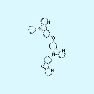 c1ccc(-n2c3ccc(Oc4ccc5c(c4)c4ncccc4n5-c4ccc5oc6cccnc6c5c4)cc3c3ncccc32)cc1